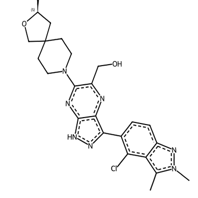 Cc1c2c(Cl)c(-c3n[nH]c4nc(N5CCC6(CC5)CO[C@@H](C)C6)c(CO)nc34)ccc2nn1C